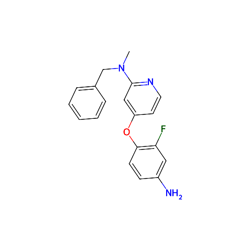 CN(Cc1ccccc1)c1cc(Oc2ccc(N)cc2F)ccn1